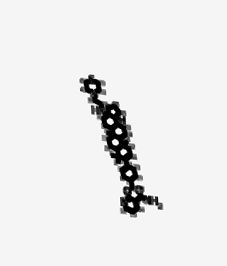 CC1(C)C(C2=CCC(COc3ncccc3C(N)=O)CC2)=CCC2(C)C1CCC1(C)C3CCC4(NCCN5CCSCC5)CCC[C@@H]4C3CCC12